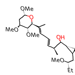 CC[C@H](OC)[C@@H](C)[C@@H]1C[C@H]1[C@H](O)[C@@H](C)/C=C/C=C(\C)[C@@H]1O[C@@H](OC)C[C@H](OC)[C@H]1OC